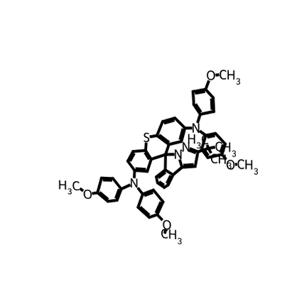 COc1ccc(N(c2ccc(OC)cc2)c2ccc3c(c2)C2(c4cc(N(c5ccc(OC)cc5)c5ccc(OC)cc5)ccc4S3)c3ccccc3-c3cc(C(C)(C)C)nn32)cc1